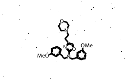 COc1cccc(CN(Cc2cccc(OC)c2)c2nc(CCN3CCOCC3)co2)c1